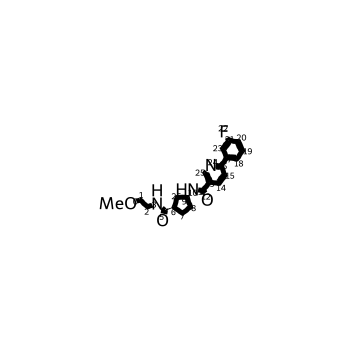 COCCNC(=O)[C@H]1CC[C@@H](NC(=O)c2ccc(-c3cccc(F)c3)nc2)C1